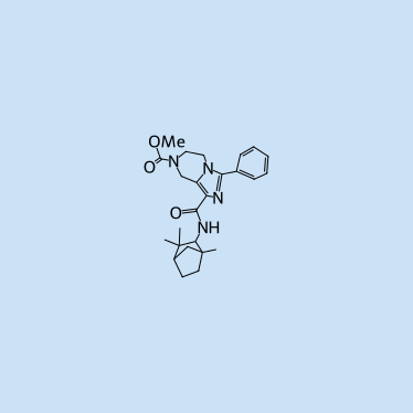 COC(=O)N1CCn2c(-c3ccccc3)nc(C(=O)NC3C4(C)CCC(C4)C3(C)C)c2C1